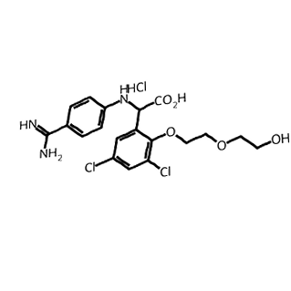 Cl.N=C(N)c1ccc(NC(C(=O)O)c2cc(Cl)cc(Cl)c2OCCOCCO)cc1